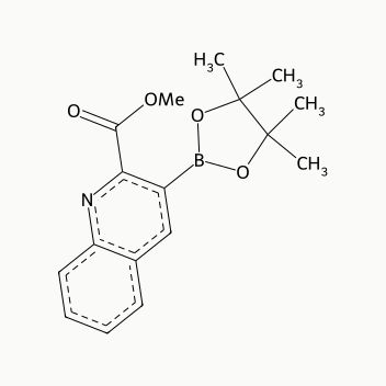 COC(=O)c1nc2ccccc2cc1B1OC(C)(C)C(C)(C)O1